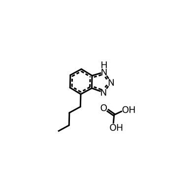 CCCCc1cccc2[nH]nnc12.O=C(O)O